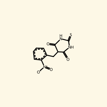 O=C1NC(=S)NC(=O)C1Cc1ccccc1[N+](=O)[O-]